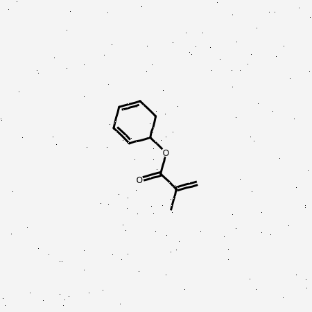 C=C(C)C(=O)OC1C=CC=CC1